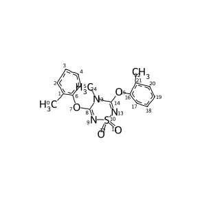 Cc1ccccc1OC1=NS(=O)(=O)N=C(Oc2ccccc2C)N1C